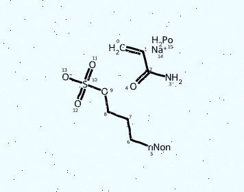 C=CC(N)=O.CCCCCCCCCCCCOS(=O)(=O)[O-].[Na+].[PoH2]